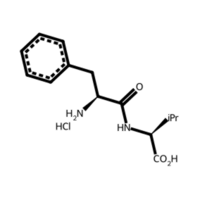 CC(C)[C@H](NC(=O)[C@@H](N)Cc1ccccc1)C(=O)O.Cl